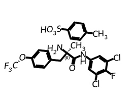 C[C@@](N)(Cc1ccc(OC(F)(F)F)cc1)C(=O)Nc1cc(Cl)c(F)c(Cl)c1.Cc1ccc(S(=O)(=O)O)cc1